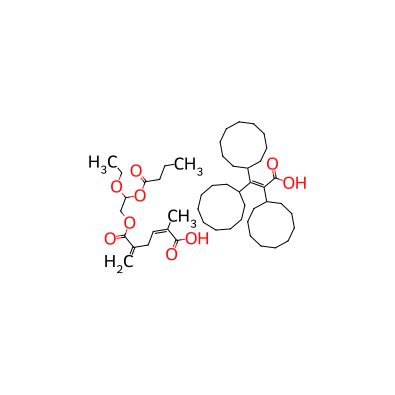 C=C(CC=C(C)C(=O)O)C(=O)OCC(OCC)OC(=O)CCC.O=C(O)C(=C(C1CCCCCCCCC1)C1CCCCCCCCC1)C1CCCCCCCCC1